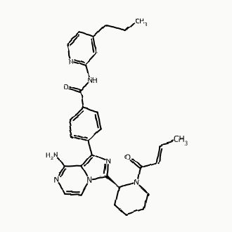 CC=CC(=O)N1CCCC[C@H]1c1nc(-c2ccc(C(=O)Nc3cc(CCC)ccn3)cc2)c2c(N)nccn12